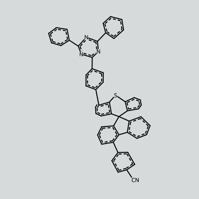 N#Cc1ccc(-c2cccc3c2-c2ccccc2C32c3ccccc3Sc3c(-c4ccc(-c5nc(-c6ccccc6)nc(-c6ccccc6)n5)cc4)cccc32)cc1